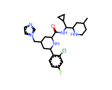 CC1CCNC(C(NC(=O)C2CC(Cn3ccnc3)CC(c3ccc(F)cc3Cl)N2)C2CC2)C1